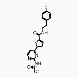 O=C(NCCc1ccc(F)cc1)c1ccc(-c2ccnc(N[N+](=O)[O-])n2)s1